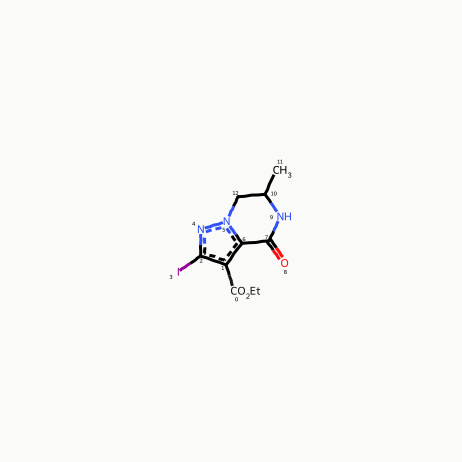 CCOC(=O)c1c(I)nn2c1C(=O)NC(C)C2